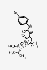 CC(C)CC(NC(=O)Nc1ccc(Br)cc1)C(=O)NCP(O)OC(C)C